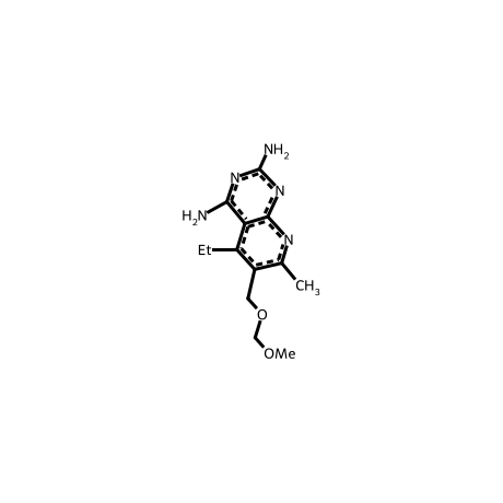 CCc1c(COCOC)c(C)nc2nc(N)nc(N)c12